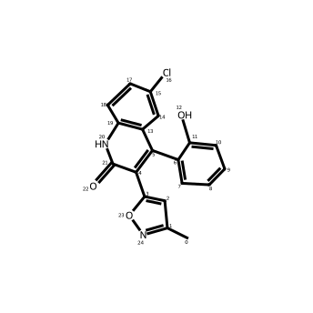 Cc1cc(-c2c(-c3ccccc3O)c3cc(Cl)ccc3[nH]c2=O)on1